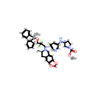 C[C@@H]1Cc2cc3c(cc2[C@@H](c2ncc(NC4CCN(C(=O)OC(C)(C)C)C4)cc2F)N1CC(F)(F)CO[Si](c1ccccc1)(c1ccccc1)C(C)(C)C)OCO3